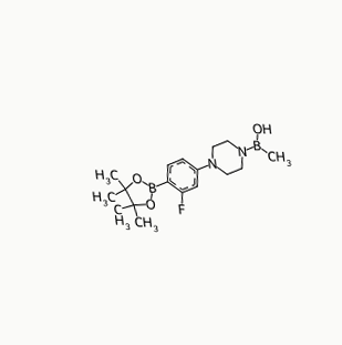 CB(O)N1CCN(c2ccc(B3OC(C)(C)C(C)(C)O3)c(F)c2)CC1